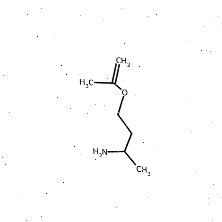 C=C(C)OCCC(C)N